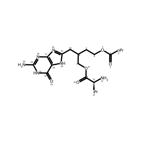 CCCC(=O)OCCC(COC(=O)[C@@H](N)C(C)C)Cc1nc2nc(N)[nH]c(=O)c2[nH]1